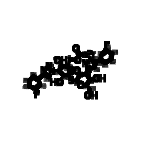 CCCC(=O)OC[C@H]1O[C@@H](S[C@@H]2O[C@H](CO)[C@H](O)[C@H](n3cc(-c4cccc(F)c4)nn3)[C@H]2O)[C@H](O)[C@@H](n2cc(-c3cccc(F)c3)nn2)[C@H]1O